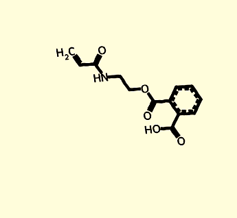 C=CC(=O)NCCOC(=O)c1ccccc1C(=O)O